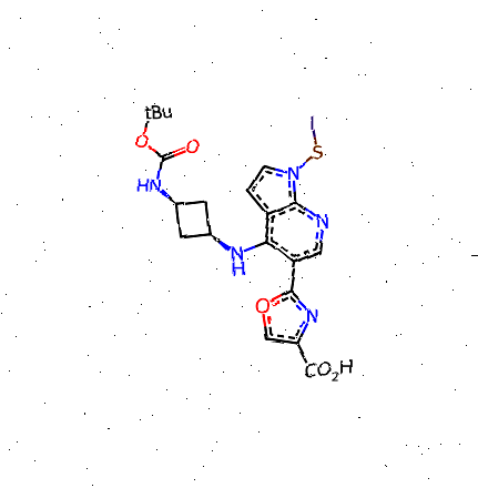 CC(C)(C)OC(=O)N[C@H]1C[C@@H](Nc2c(-c3nc(C(=O)O)co3)cnc3c2ccn3SI)C1